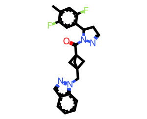 Cc1cc(F)c(C2CC=NN2C(=O)C23CC(Cn4ncc5ccccc54)(C2)C3)cc1F